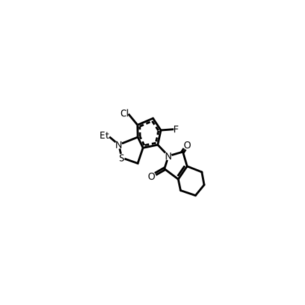 CCN1SCc2c1c(Cl)cc(F)c2N1C(=O)C2=C(CCCC2)C1=O